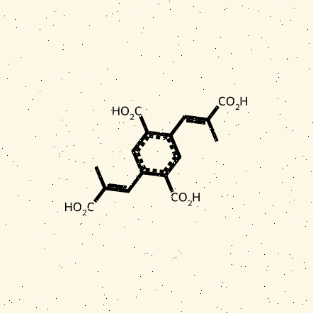 CC(=Cc1cc(C(=O)O)c(C=C(C)C(=O)O)cc1C(=O)O)C(=O)O